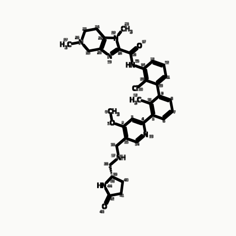 COc1cc(-c2cccc(-c3cccc(NC(=O)c4nc5c(n4C)CCN(C)C5)c3Cl)c2C)ncc1CNC[C@@H]1CCC(=O)N1